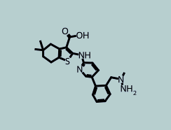 CN(N)Cc1ccccc1-c1ccc(Nc2sc3c(c2C(=O)O)CC(C)(C)CC3)nc1